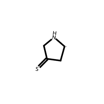 S=C1C[CH]NC1